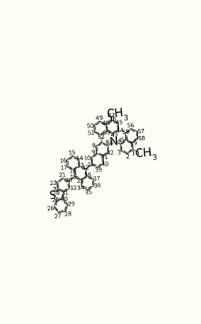 Cc1ccc(N(c2ccc3cc(-c4c5ccccc5c(-c5ccc6sc7ccccc7c6c5)c5ccccc45)ccc3c2)c2ccc(C)c3ccccc23)c2ccccc12